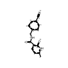 Cc1ccc(C(=O)NCc2ccc(C#N)cc2)c(=O)[nH]1